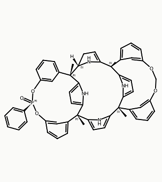 C[C@@]12C3=CC[C@H](N3)[C@@]3(C)c4cccc(c4)O[P@](=O)(c4ccccc4)Oc4cccc(c4)[C@@](C)(c4ccc([nH]4)[C@@](C)(c4cccc(c4)OCOc4cccc1c4)c1ccc2[nH]1)c1ccc3[nH]1